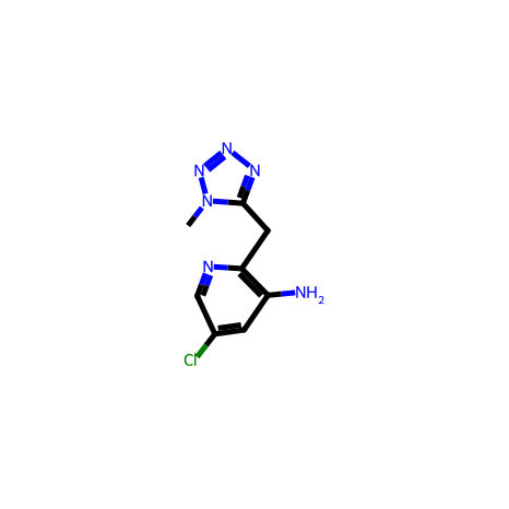 Cn1nnnc1Cc1ncc(Cl)cc1N